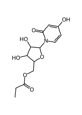 CCC(=O)OCC1OC(n2ccc(O)cc2=O)C(O)C1O